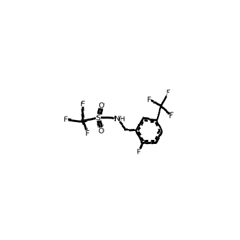 O=S(=O)(NCc1cc(C(F)(F)F)ccc1F)C(F)(F)F